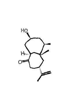 C=C(C)[C@@H]1CC(=O)[C@H]2C[C@@H](O)C[C@@H](C)[C@]2(C)C1